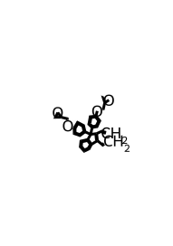 C=CC1=C(C=C)C(c2ccc(OCC3CO3)cc2)(c2ccc(OCC3CO3)cc2)c2ccccc21